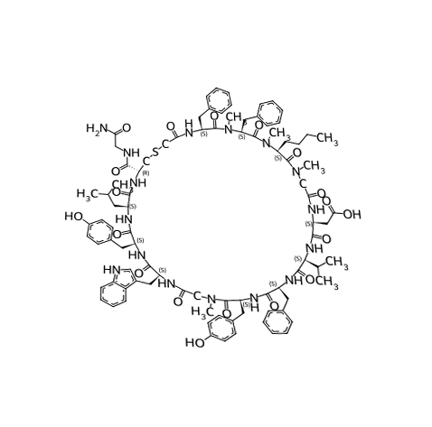 CCCC[C@H]1C(=O)N(C)CC(=O)N[C@@H](CC(=O)O)C(=O)N[C@@H](C(C)C)C(=O)N[C@@H](Cc2ccccc2)C(=O)N[C@@H](Cc2ccc(O)cc2)C(=O)N(C)CC(=O)N[C@@H](Cc2c[nH]c3ccccc23)C(=O)N[C@@H](Cc2ccc(O)cc2)C(=O)N[C@@H](CC(C)C)C(=O)N[C@H](C(=O)NCC(N)=O)CSCC(=O)N[C@@H](Cc2ccccc2)C(=O)N(C)[C@@H](Cc2ccccc2)C(=O)N1C